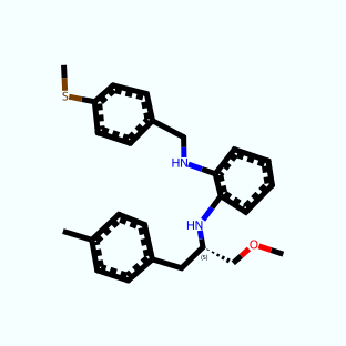 COC[C@H](Cc1ccc(C)cc1)Nc1ccccc1NCc1ccc(SC)cc1